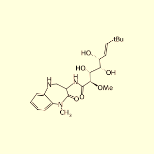 CO[C@@H](C(=O)NC1CNc2ccccc2N(C)C1=O)[C@H](O)[C@@H](O)[C@H](O)C=CC(C)(C)C